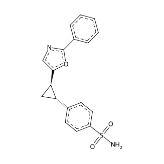 NS(=O)(=O)c1ccc([C@@H]2C[C@H]2c2cnc(-c3ccccc3)o2)cc1